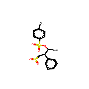 CCCCC(OS(=O)(=O)c1ccc(C)cc1)C(C=S(=O)=O)c1ccccc1